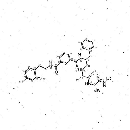 CCNC(=O)[C@@H](NC(=O)[C@H](C)NC[C@H](Cc1ccccc1)NC(=O)c1cccc(C(=O)NCCc2ccc(F)cc2F)c1)C(C)C